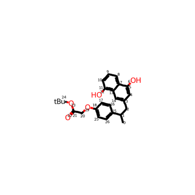 CC(Cc1cc(O)c2cccc(O)c2c1)c1ccc(OCC(=O)OC(C)(C)C)cc1